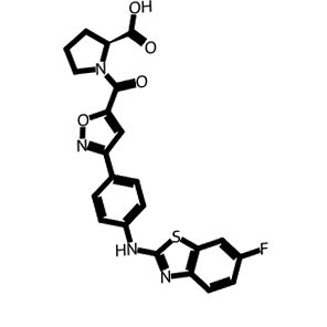 O=C(O)[C@@H]1CCCN1C(=O)c1cc(-c2ccc(Nc3nc4ccc(F)cc4s3)cc2)no1